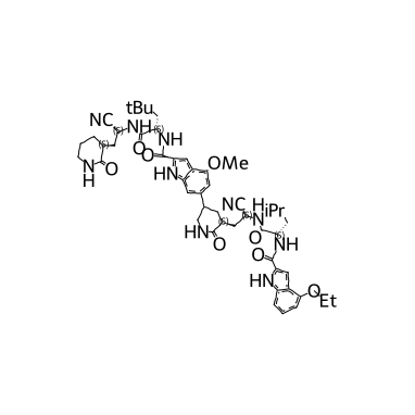 CCOc1cccc2[nH]c(C(=O)N[C@@H](CC(C)C)C(=O)N[C@H](C#N)C[C@@H]3CC(c4cc(OC)c5cc(C(=O)N[C@@H](CC(C)(C)C)C(=O)N[C@H](C#N)C[C@@H]6CCCNC6=O)[nH]c5c4)CNC3=O)cc12